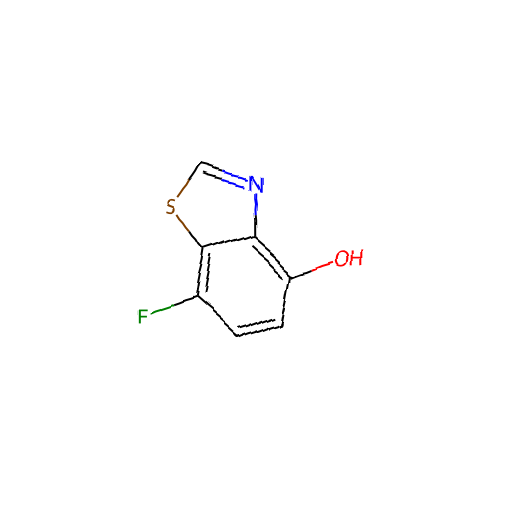 Oc1ccc(F)c2scnc12